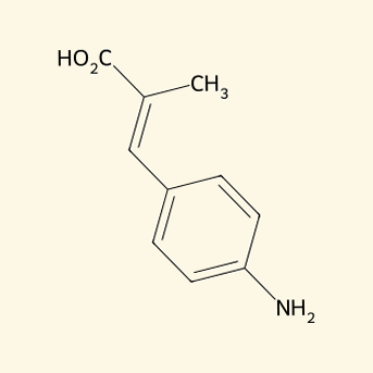 CC(=Cc1ccc(N)cc1)C(=O)O